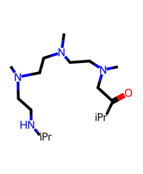 CC(C)NCCN(C)CCN(C)CCN(C)CC(=O)C(C)C